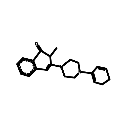 CC1C(=O)c2ccccc2C=C1N1CCN(C2=CCCC=C2)CC1